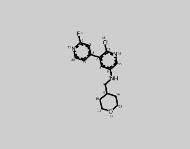 Fc1cc(-c2cc(NCC3CCOCC3)cnc2Cl)ccn1